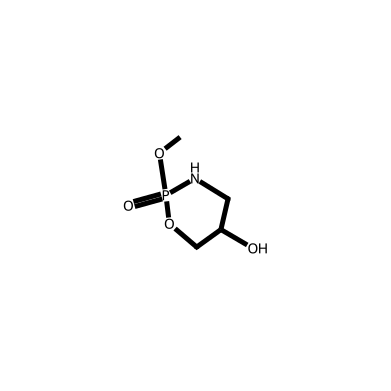 COP1(=O)NCC(O)CO1